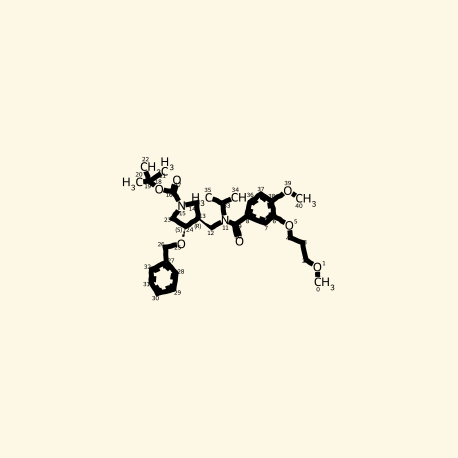 COCCCOc1cc(C(=O)N(C[C@@H]2CN(C(=O)OC(C)(C)C)C[C@H]2OCc2ccccc2)C(C)C)ccc1OC